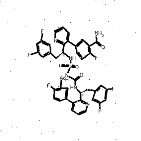 CC(=O)c1cc(-c2cccnc2[C@H](Cc2cc(F)cc(F)c2)NC(=O)NS(=O)(=O)N[C@@H](Cc2cc(F)cc(F)c2)c2ncccc2-c2ccc(F)c(C(N)=O)c2)ccc1F